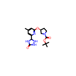 Cc1cc(O[C@H]2CCN(C(=O)OC(C)(C)C)C2)nc(C2NNC(=O)N2)c1